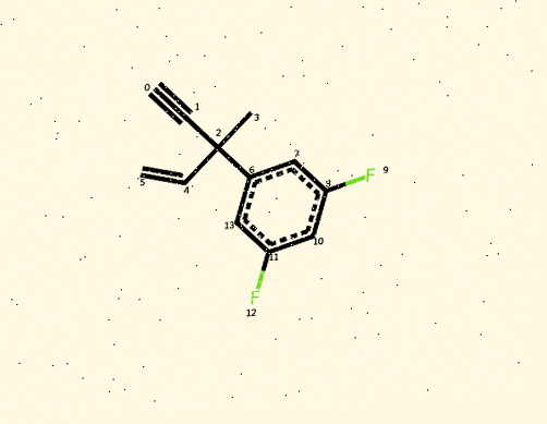 C#CC(C)(C=C)c1cc(F)cc(F)c1